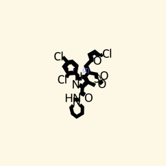 O=C(NN1CCCCC1)c1nn(-c2ccc(Cl)cc2Cl)c2c1CS(=O)(=O)C/C2=C\c1ccc(Cl)o1